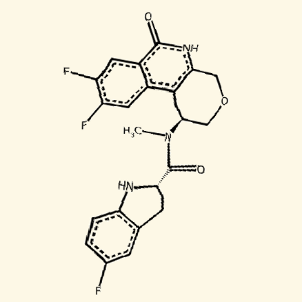 CN(C(=O)[C@@H]1Cc2cc(F)ccc2N1)[C@@H]1COCc2[nH]c(=O)c3cc(F)c(F)cc3c21